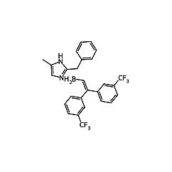 BC=C(c1cccc(C(F)(F)F)c1)c1cccc(C(F)(F)F)c1.Cc1cnc(Cc2ccccc2)[nH]1